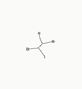 BrC(Br)C(Br)I